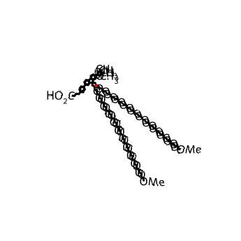 COCCOOCCOOCCOOCCOOCCOOCCOOCCOOCCOOCCOOCCOOCCOCCCC1(CCCOCCOOCCOOCCOOCCOOCCOOCCOOCCOOCCOOCCOOCCOOCCOC)c2cc(B3OC(C)(C)C(C)(C)O3)ccc2-c2ccc(-c3ccc(CCCC(=O)O)cc3)cc21